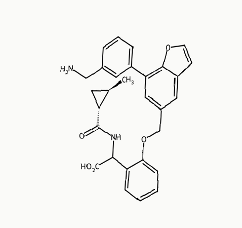 C[C@@H]1C[C@H]1C(=O)NC(C(=O)O)c1ccccc1OCc1cc(-c2cccc(CN)c2)c2occc2c1